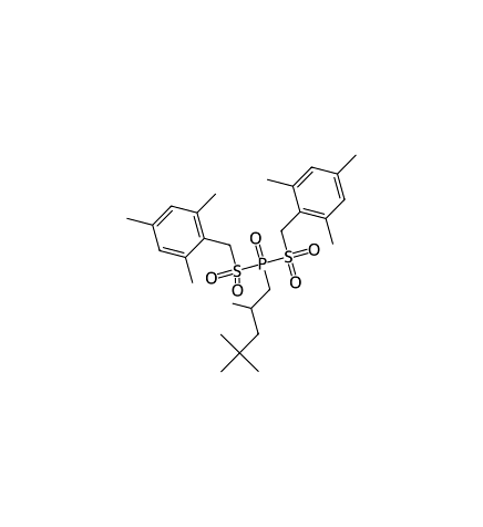 Cc1cc(C)c(CS(=O)(=O)P(=O)(CC(C)CC(C)(C)C)S(=O)(=O)Cc2c(C)cc(C)cc2C)c(C)c1